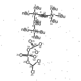 CCCC[N+](CCCC)(CCCC)CCCC.CCCC[N+](CCCC)(CCCC)CCCC.CCCC[N+](CCCC)(CCCC)CCCC.O=P([O-])([O-])OP(=O)([O-])OC(Cl)Cl